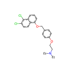 CCN(CC)CCOc1ccc(COc2cccc3c(Cl)c(Cl)ccc23)cc1